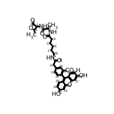 CC1OC(=O)C1NC(=O)[C@@H](C)NC(=O)CCCCCNC(=O)Cc1ccc(C2=C3C=CC(O)C=C3Oc3cc(O)ccc32)c(C(=O)O)c1